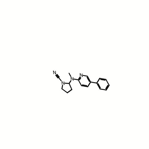 CN(c1ccc(-c2ccccc2)cn1)C1CCCN1C#N